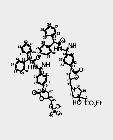 CCOC(=O)CC1(O)CCN(CC2CN(c3ccc(C(=N)NC(=O)C(c4ccccc4)c4ccccc4)cc3)C(=O)O2)CC1.CS(=O)(=O)OCC1CN(c2ccc(C(=N)NC(=O)C(c3ccccc3)c3ccccc3)cc2)C(=O)O1